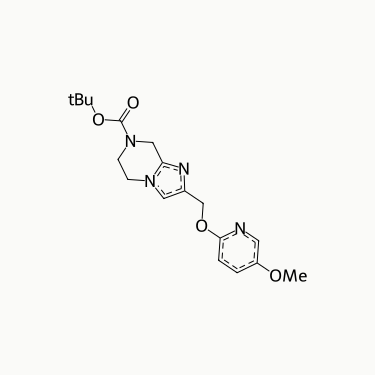 COc1ccc(OCc2cn3c(n2)CN(C(=O)OC(C)(C)C)CC3)nc1